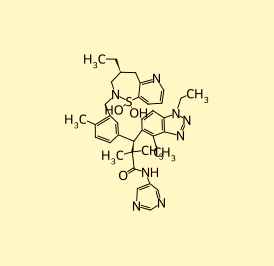 CC[C@H]1Cc2ncccc2S(O)(O)N(Cc2cc([C@@H](c3ccc4c(nnn4CC)c3C)C(C)(C)C(=O)Nc3cncnc3)ccc2C)C1